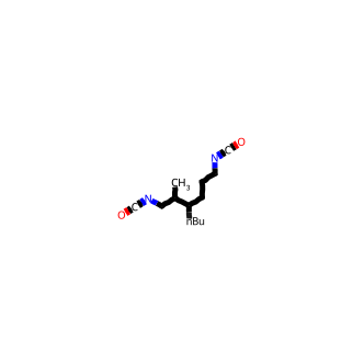 CCCCC(CCCN=C=O)C(C)CN=C=O